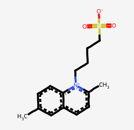 Cc1ccc2c(ccc(C)[n+]2CCCCS(=O)(=O)[O-])c1